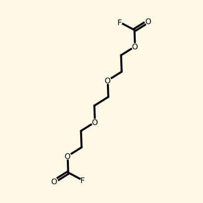 O=C(F)OCCOCCOCCOC(=O)F